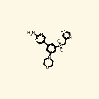 Nc1ncc(-c2cc(N3CCOCC3)cc(S(=O)(=O)Cc3c[nH]cn3)c2)cn1